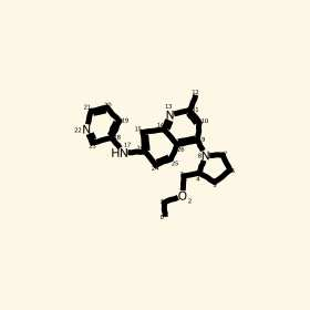 CCOCC1CCCN1c1cc(C)nc2cc(Nc3cccnc3)ccc12